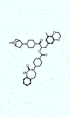 Cc1cc(C[C@@H](OC(=O)N2CCC(N3CCc4ccccc4NC3=O)CC2)C(=O)N2CCN(C3CC4CC3CN4C)CC2)cc2c1OCCO2